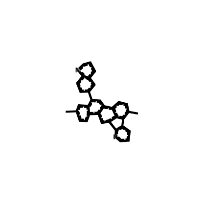 Cc1ccc2c(c1)c(-c1ccc3ncccc3c1)cc1c3ccc(C)c4c3c(cc21)-c1ncccc1-4